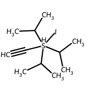 C#C[SH](I)(C(C)C)(C(C)C)C(C)C